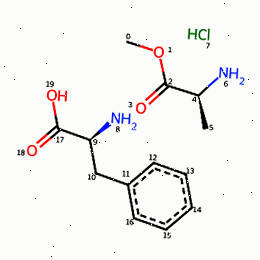 COC(=O)[C@H](C)N.Cl.N[C@@H](Cc1ccccc1)C(=O)O